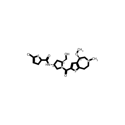 CO[C@H]1CN(C)CCc2sc(C(=O)N3C[C@H](NC(=O)C4CC=C(Cl)S4)C[C@H]3CO)cc21